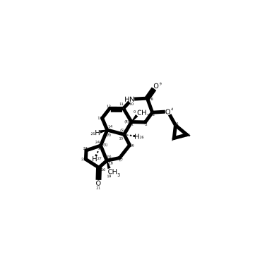 C[C@]12CC(OC3CC3)C(=O)NC1=CC[C@@H]1[C@@H]2CC[C@]2(C)C(=O)CC[C@@H]12